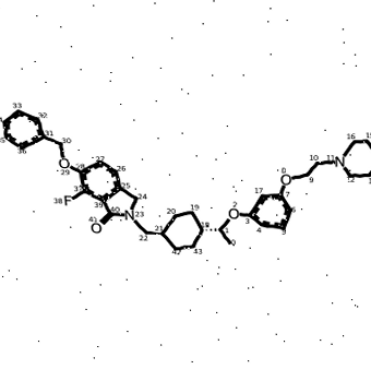 CC(Oc1cccc(OCCN2CCOCC2)c1)[C@H]1CC[C@H](CN2Cc3ccc(OCc4ccccc4)c(F)c3C2=O)CC1